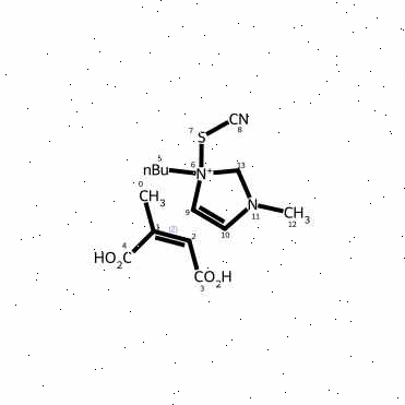 C/C(=C/C(=O)O)C(=O)O.CCCC[N+]1(SC#N)C=CN(C)C1